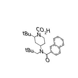 CC(C)(C)CN(C(=O)c1ccc2ccccc2c1)C1CCN(C(=O)O)C(C(C)(C)C)C1